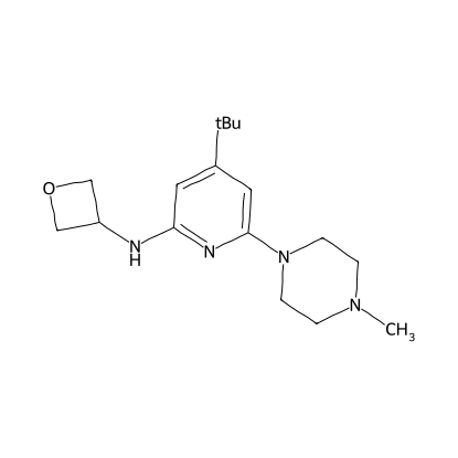 CN1CCN(c2cc(C(C)(C)C)cc(NC3COC3)n2)CC1